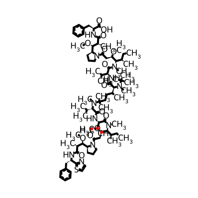 CC[C@H](C)[C@@H]([C@@H](CC(=O)N1CCC[C@H]1[C@H](OC)[C@@H](C)C(=O)N[C@@H](Cc1ccccc1)C(=O)O)OC)N(C)C(=O)[C@@H](NC(=O)[C@H](C(C)CCC(C)(C)N(C)[C@H](C(=O)N[C@H](C(=O)N(C)[C@@H]([C@@H](C)CC)[C@@H](CC(=O)N1CCC[C@H]1[C@H](OC)[C@@H](C)C(=O)N[C@@H](Cc1ccccc1)c1nccs1)OC)C(C)C)C(C)C)N(C)C(C)(C)C)C(C)C